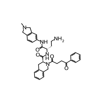 CN1Cc2ccc(NC(=O)[C@H](CCN)NC(=O)[C@@H]3Cc4ccccc4CN3C(=O)CCC(=O)c3ccccc3)cc2C1